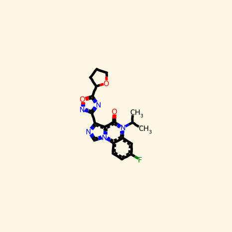 CC(C)n1c(=O)c2c(-c3noc(C4CCCO4)n3)ncn2c2ccc(F)cc21